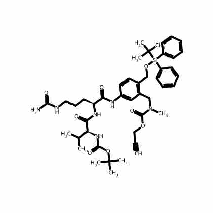 C#CCOC(=O)N(C)Cc1cc(NC(=O)[C@H](CCCNC(N)=O)NC(=O)[C@@H](NC(=O)OC(C)(C)C)C(C)C)ccc1CO[Si](c1ccccc1)(c1ccccc1)C(C)(C)C